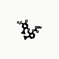 COC(=O)Oc1cccc(C2CC2)c1COc1cc(Cl)c(C)cc1C1CC1